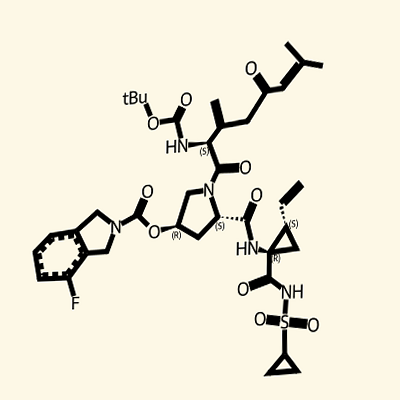 C=C[C@@H]1C[C@]1(NC(=O)[C@@H]1C[C@@H](OC(=O)N2Cc3cccc(F)c3C2)CN1C(=O)[C@@H](NC(=O)OC(C)(C)C)C(=C)CC(=O)C=C(C)C)C(=O)NS(=O)(=O)C1CC1